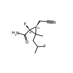 CC(F)CC1(C)[C@H](CC#N)[C@@]1(F)C(N)=O